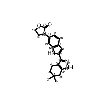 CC1(C)CCc2c(-c3cc4ccc(N5CCOC5=O)cc4[nH]3)n[nH]c2C1